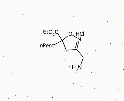 CCCCCC1(C(=O)OCC)CC(CN)=NO1.Cl